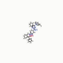 CN(C)c1nc(NC2CCC(NCC3CCCCC3C(O)c3ccccc3)CC2)nc2c1CCCC2